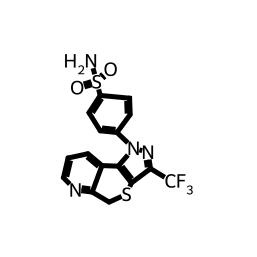 NS(=O)(=O)c1ccc(-n2nc(C(F)(F)F)c3c2-c2cccnc2CS3)cc1